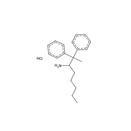 CCCCCC(N)C(C)(c1ccccc1)c1ccccc1.Cl